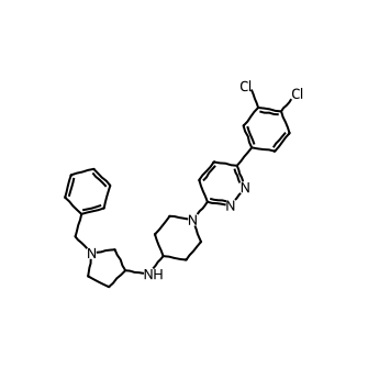 Clc1ccc(-c2ccc(N3CCC(NC4CCN(Cc5ccccc5)C4)CC3)nn2)cc1Cl